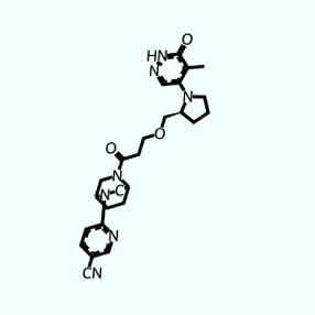 Cc1c(N2CCC[C@H]2COCCC(=O)N2CC3CCC2CN3c2ccc(C#N)cn2)cn[nH]c1=O